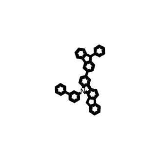 c1ccc(-c2cccc(-n3c4ccc(-c5ccc6c(c5)-c5ccccc5C6c5ccccc5)cc4c4ccc5c(c43)Cc3ccccc3-5)c2)cc1